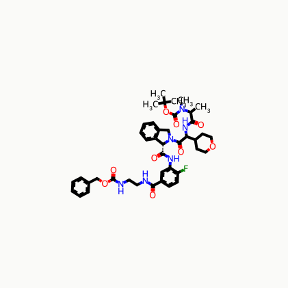 CC(C(=O)NC(C(=O)N1Cc2ccccc2[C@H]1C(=O)Nc1cc(C(=O)NCCNC(=O)OCc2ccccc2)ccc1F)C1CCOCC1)N(C)C(=O)OC(C)(C)C